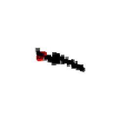 CCCCCCCCCCc1ccc(C=CCOC(C)=O)cc1